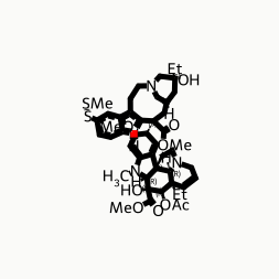 CC[C@]1(O)C[C@H]2CN(CCc3c([nH]c4ccc(SSC)cc34)[C@@](C(=O)OC)(C3C=C4C(=CC3OC)N(C)[C@H]3[C@@](O)(C(=O)OC)[C@H](OC(C)=O)[C@]5(CC)C=CCN6CC[C@]43[C@@H]65)C2)C1